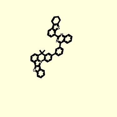 CC1(C)c2cc(-c3cccc(-c4nc(-c5cccc6c7c(sc56)CCC=C7)nc5ccccc45)c3)ccc2-n2c3c1cccc3c1oc3ccccc3c12